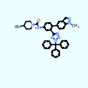 Cn1ncc2cc(-c3ccc(NC(=O)N4CCC(C(C)(C)C)CC4)cc3-c3nnn(C(c4ccccc4)(c4ccccc4)c4ccccc4)n3)ccc21